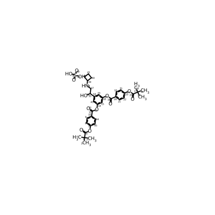 CC(C)(C)C(=O)Oc1ccc(C(=O)Oc2cc(OC(=O)c3ccc(OC(=O)C(C)(C)C)cc3)cc(C(O)CNC3CCC3)c2)cc1.O=S(=O)(O)O